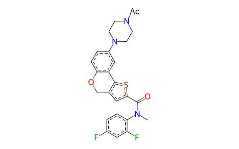 CC(=O)N1CCN(c2ccc3c(c2)-c2sc(C(=O)N(C)c4ccc(F)cc4F)cc2CO3)CC1